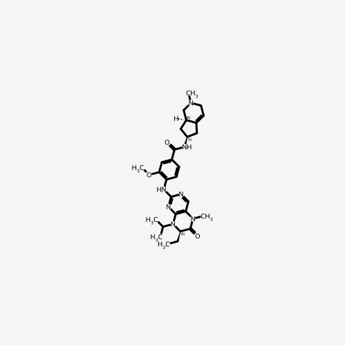 CC[C@@H]1C(=O)N(C)c2cnc(Nc3ccc(C(=O)N[C@@H]4CC5=CCN(C)C[C@@H]5C4)cc3OC)nc2N1C(C)C